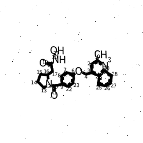 Cc1cc(COc2ccc(C(=O)N3CCCC3CC(=O)NO)cc2)c2ccccc2n1